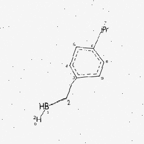 [2H]BCc1ccc(C(C)C)cc1